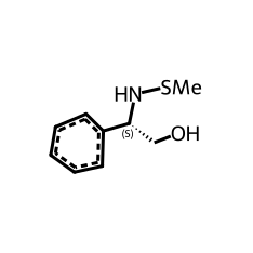 CSN[C@H](CO)c1ccccc1